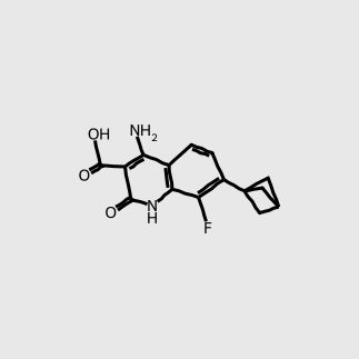 Nc1c(C(=O)O)c(=O)[nH]c2c(F)c(C34CC(C3)C4)ccc12